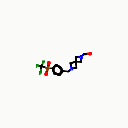 O=CN1CC2(C1)CN(Cc1ccc(S(=O)(=O)C(F)(F)F)cc1)C2